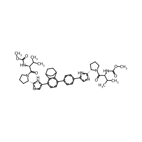 COC(=O)N[C@H](C(=O)N1CCC[C@H]1c1ncc(-c2ccc(-c3ccc(-c4cnc([C@@H]5CCCN5C(=O)[C@@H](NC(=O)OC)C(C)C)[nH]4)c4c3C3CCC4CC3)cc2)[nH]1)C(C)C